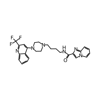 O=C(NCCCCN1CCN(c2cc(C(F)(F)F)nc3ccccc23)CC1)c1cn2ccccc2n1